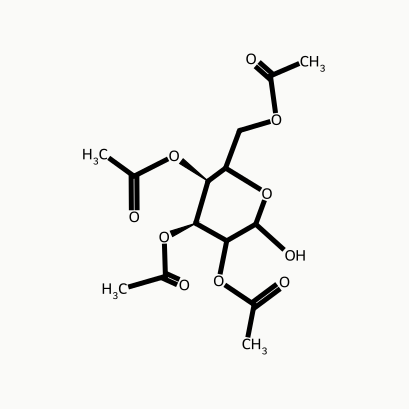 CC(=O)OCC1OC(O)C(OC(C)=O)[C@@H](OC(C)=O)[C@H]1OC(C)=O